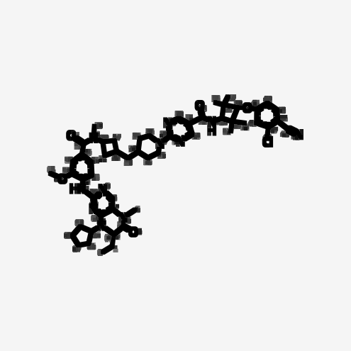 CC[C@@H]1C(=O)N(C)c2cnc(Nc3ccc(C(=O)N(C)C4CC(CC5CCN(c6ncc(C(=O)NC7C(C)(C)C(Oc8ccc(C#N)c(Cl)c8)C7(C)C)cn6)CC5)C4)cc3OC)nc2N1C1CCCC1